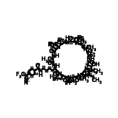 C/C=C/CC(C)C(O)C1C(=O)NC(CC)C(=O)N(C)CC(=O)N(C)C(CC(C)C)C(=O)NC(C(C)C)C(=O)N(C)C(CC(C)C)C(=O)NC(C)C(=O)NC(CCCCNC(=O)c2ccc(C(=[N+]=[N-])C(F)(F)F)cc2)C(=O)N(C)C(CC(C)C)C(=O)N(C)C(CC(C)C)C(=O)N(C)C(C(C)C)C(=O)N1C